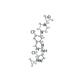 Clc1cc2cnc(Nc3cnn(C4CC4)c3Cl)nc2cc1N1CCN(C2COC2)CC1